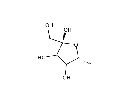 C[C@H]1O[C@@](O)(CO)C(O)C1O